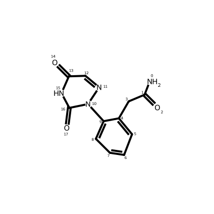 NC(=O)Cc1ccccc1-n1ncc(=O)[nH]c1=O